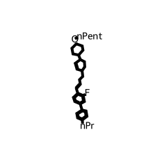 CCCCCOC1CCC(C2C=CC(CC/C=C/c3ccc(-c4ccc(CCC)cc4)cc3F)CC2)CC1